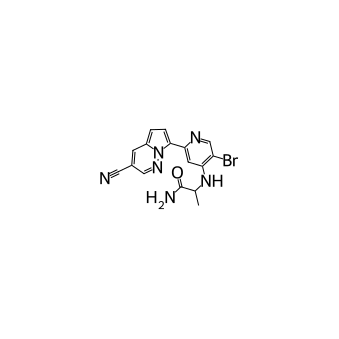 CC(Nc1cc(-c2ccc3cc(C#N)cnn23)ncc1Br)C(N)=O